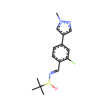 Cn1cc(-c2ccc(C=N[S+]([O-])C(C)(C)C)c(F)c2)cn1